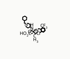 C[C@H]1CN(Cc2c(Cl)cccc2C(F)(F)F)C[C@@]1(CC(=O)O)C(=O)NC1CCN(CC2CCCCC2)CC1